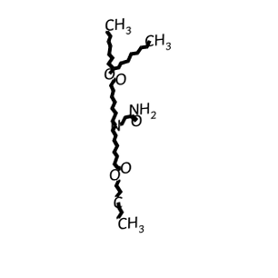 CCCCCCCCCOC(=O)CCCCCCCN(CCCCCCCC(=O)OC(CCCCCCCC)CCCCCCCC)CCC(N)=O